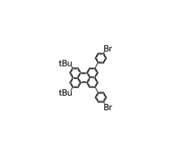 CC(C)(C)c1cc2cc(C(C)(C)C)cc3c4cc(-c5ccc(Br)cc5)cc5cc(-c6ccc(Br)cc6)cc(c(c1)c23)c54